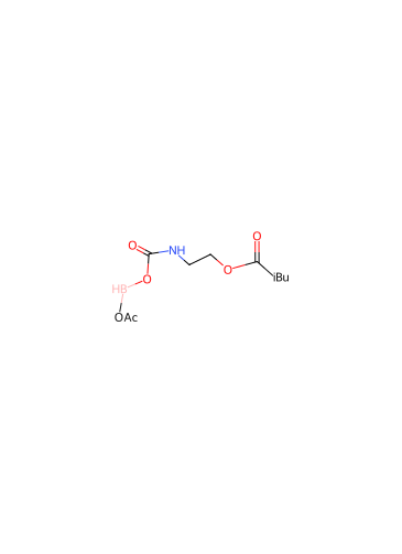 CCC(C)C(=O)OCCNC(=O)OBOC(C)=O